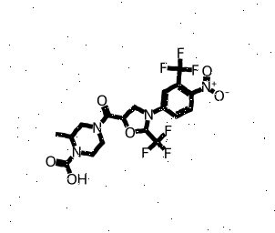 CC1CN(C(=O)C2CN(c3ccc([N+](=O)[O-])c(C(F)(F)F)c3)C(C(F)(F)F)O2)CCN1C(=O)O